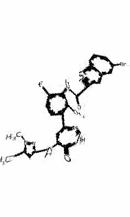 Cc1c(-c2cc(Nc3cc(C)n(C)n3)c(=O)[nH]n2)ccc(F)c1NC(=O)c1cc2cc(Br)ccc2s1